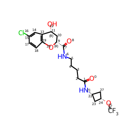 O=C(CCCCNC(=O)[C@H]1C[C@@H](O)c2cc(Cl)ccc2O1)N[C@H]1C[C@@H](OC(F)(F)F)C1